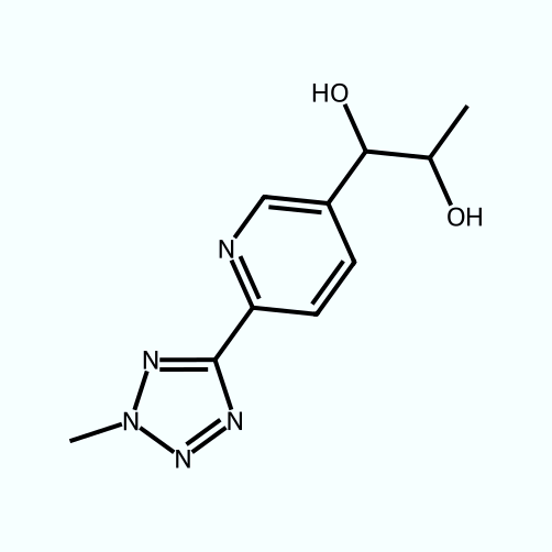 CC(O)C(O)c1ccc(-c2nnn(C)n2)nc1